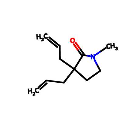 C=CCC1(CC=C)CCN(C)C1=O